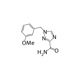 COc1cccc(Cn2cnc(C(N)=O)n2)c1